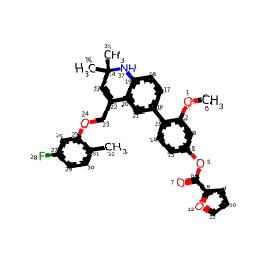 COc1cc(OC(=O)c2ccco2)ccc1-c1ccc2c(c1)C(COc1cc(F)ccc1C)=CC(C)(C)N2